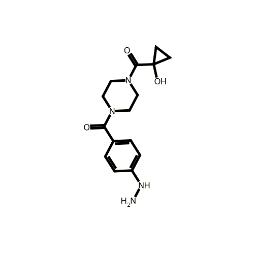 NNc1ccc(C(=O)N2CCN(C(=O)C3(O)CC3)CC2)cc1